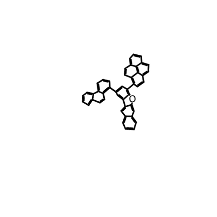 c1ccc2cc3c(cc2c1)oc1c(-c2ccc4ccc5cccc6ccc2c4c56)cc(-c2cccc4c2ccc2ccccc24)cc13